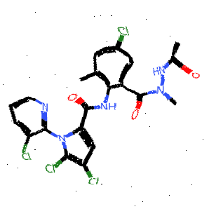 CC(=O)NN(C)C(=O)c1cc(Cl)cc(C)c1NC(=O)c1cc(Cl)c(Cl)n1-c1ncccc1Cl